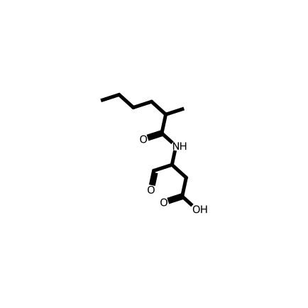 CCCCC(C)C(=O)NC(C=O)CC(=O)O